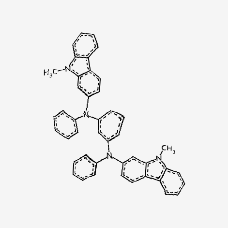 Cn1c2ccccc2c2ccc(N(c3ccccc3)c3cccc(N(c4ccccc4)c4ccc5c6ccccc6n(C)c5c4)c3)cc21